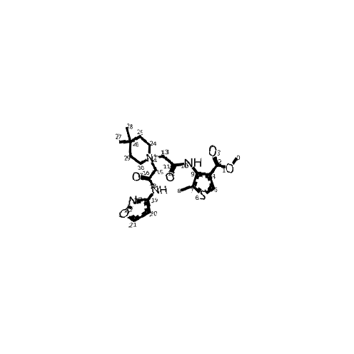 COC(=O)c1csc(C)c1NC(=O)C[N+]1(CC(=O)Nc2ccon2)CCC(C)(C)CC1